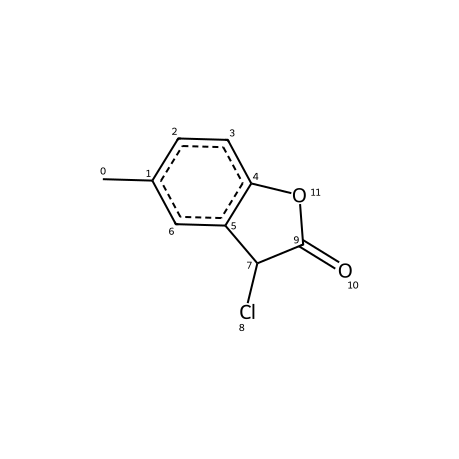 Cc1ccc2c(c1)C(Cl)C(=O)O2